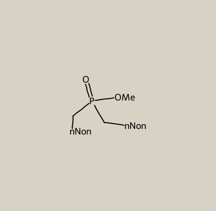 CCCCCCCCCCP(=O)(CCCCCCCCCC)OC